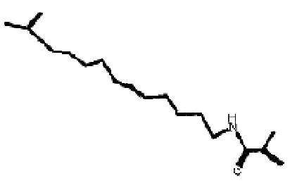 C=C(C)C(=O)NCCCCCCCCCCCC(C)C